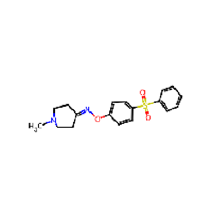 CN1CCC(=NOc2ccc(S(=O)(=O)c3ccccc3)cc2)CC1